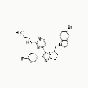 CCCNc1nccc(-c2c(-c3ccc(F)cc3)nc3n2C(Cn2ccc4cc(Br)ccc42)CC3)n1